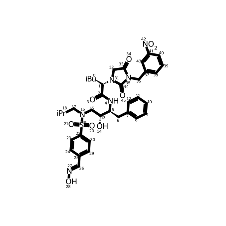 CC[C@H](C)[C@@H](C(=O)N[C@@H](Cc1ccccc1)[C@H](O)CN(CC(C)C)S(=O)(=O)c1ccc(/C=N/O)cc1)N1CC(=O)N(Cc2cccc([N+](=O)[O-])c2)C1=O